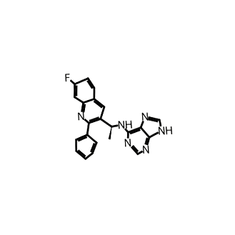 C[C@H](Nc1ncnc2[nH]cnc12)c1cc2ccc(F)cc2nc1-c1ccccc1